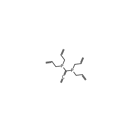 C=C=C(P(CC=C)CC=C)P(CC=C)CC=C